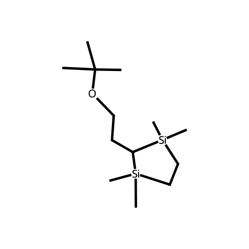 CC(C)(C)OCCC1[Si](C)(C)CC[Si]1(C)C